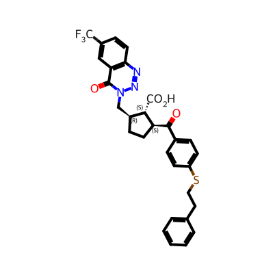 O=C(O)[C@H]1[C@H](Cn2nnc3ccc(C(F)(F)F)cc3c2=O)CC[C@@H]1C(=O)c1ccc(SCCc2ccccc2)cc1